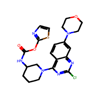 O=C(NC1CCCN(c2nc(Cl)nc3cc(N4CCOCC4)ccc23)C1)Oc1nccs1